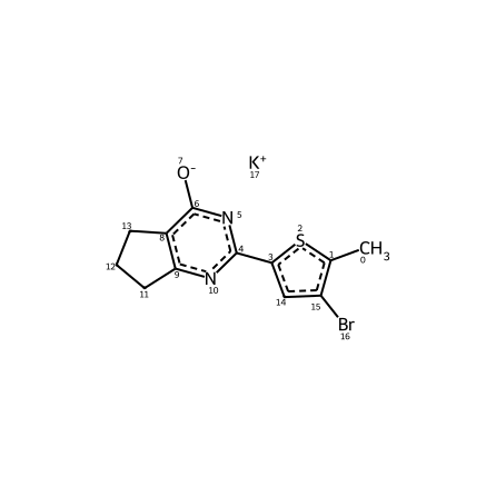 Cc1sc(-c2nc([O-])c3c(n2)CCC3)cc1Br.[K+]